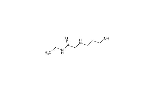 CCNC(=O)CNCCCO